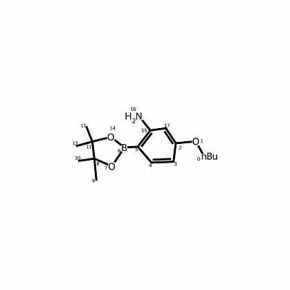 CCCCOc1ccc(B2OC(C)(C)C(C)(C)O2)c(N)c1